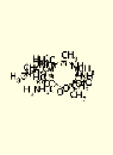 CC[C@H]1OC(=O)C(C)C(=O)[C@H](C)[C@@H](O[C@@H]2O[C@H](CN)C[C@H](N(C)C)[C@H]2O)[C@](C)(OC)C[C@@H](C)CN[C@H](C)[C@H]2NC(=O)O[C@@]21C